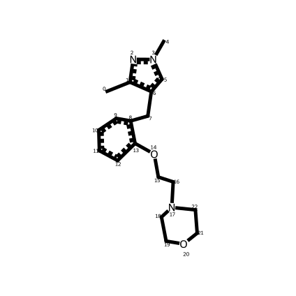 Cc1nn(C)cc1Cc1ccccc1OCCN1CCOCC1